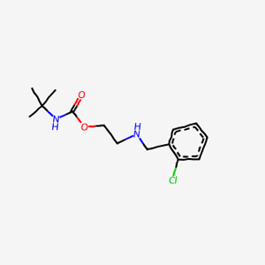 CC(C)(C)NC(=O)OCCNCc1ccccc1Cl